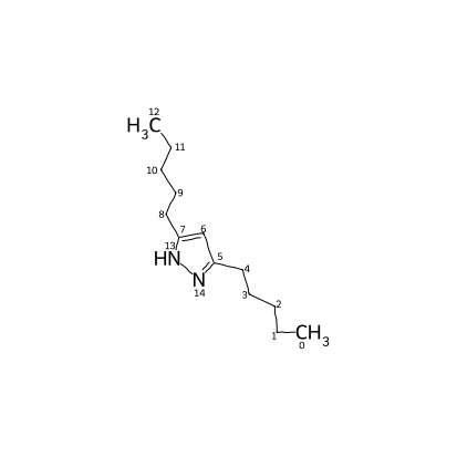 CCCCCc1cc(CCCCC)[nH]n1